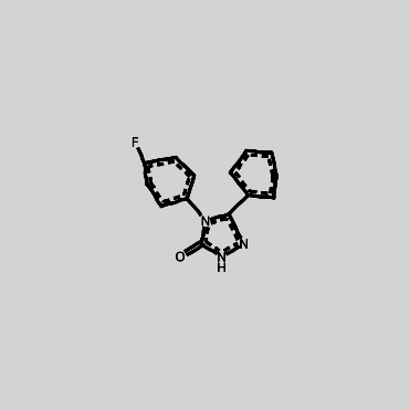 O=c1[nH]nc(-c2ccccc2)n1-c1ccc(F)cc1